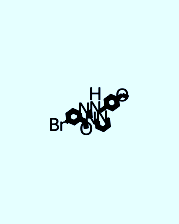 COc1ccc(CNc2nc3ccc(Br)cc3c(=O)n2-c2ccccn2)cc1